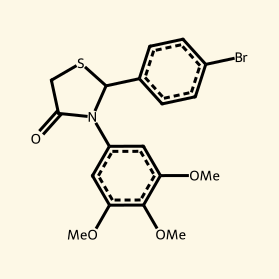 COc1cc(N2C(=O)CSC2c2ccc(Br)cc2)cc(OC)c1OC